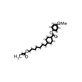 C=CC(=O)OCCCCCCCC1CCC(C(=O)Oc2ccc(OC)cc2)CC1